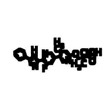 Cc1cc(OCC(C)(C)C(=O)O)ncc1-c1cnc(-c2ncc(-c3ccccc3)[nH]2)c(F)c1